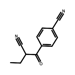 CCC(C#N)C(=O)c1ccc(C#N)cc1